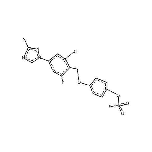 Cc1ncn(-c2cc(F)c(COc3ccc(OS(=O)(=O)F)cc3)c(Cl)c2)n1